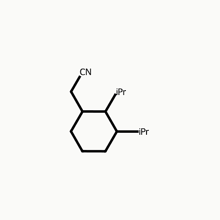 CC(C)C1CCCC(CC#N)C1C(C)C